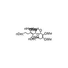 CCCCCCCCCCCCC(OC)=C(OC)C(OCCCCCCC)OC(OCCCCCCC)C(OC)=C(CCCCCCCCCCCC)OC